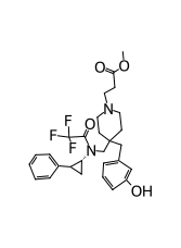 COC(=O)CCN1CCC(Cc2cccc(O)c2)(CN(C(=O)C(F)(F)F)[C@@H]2CC2c2ccccc2)CC1